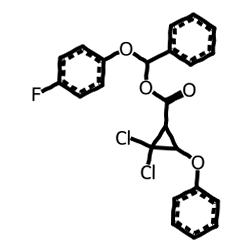 O=C(OC(Oc1ccc(F)cc1)c1ccccc1)C1C(Oc2ccccc2)C1(Cl)Cl